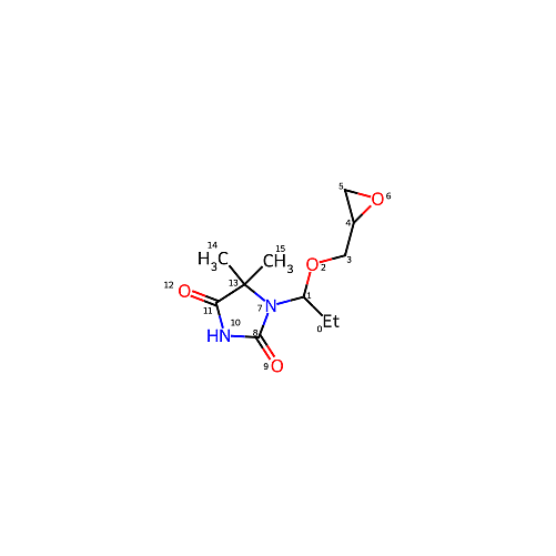 CCC(OCC1CO1)N1C(=O)NC(=O)C1(C)C